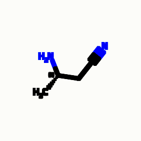 C[C@H](N)CC#N